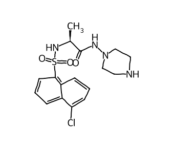 C[C@H](NS(=O)(=O)c1cccc2c(Cl)cccc12)C(=O)NN1CCNCC1